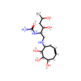 CCC(O)CC(O)C(CNC1C/C=C\CC(O)C(O)C1O)NC(N)=O